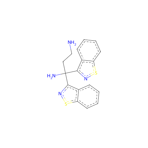 NCCC(N)(c1nsc2ccccc12)c1nsc2ccccc12